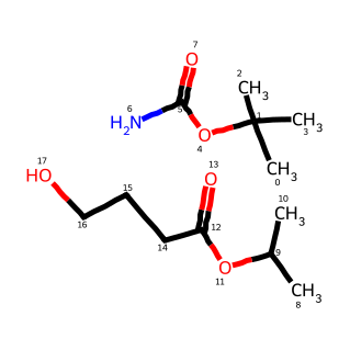 CC(C)(C)OC(N)=O.CC(C)OC(=O)CCCO